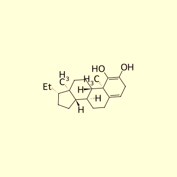 CC[C@H]1CC[C@H]2[C@@H]3CCC4=CCC(O)=C(O)[C@]4(C)[C@H]3CC[C@]12C